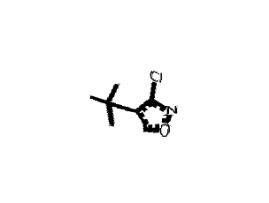 CC(C)(C)c1conc1Cl